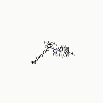 CC(=O)O[C@@H](C)/C=C\C(=O)N[C@@H]1C[C@H](C)[C@H](C/C=C(C)/C=C/[C@H]2OC(C)(C)CC(=O)[C@@H]2OCCOCCOCCOCCN=[N+]=[N-])O[C@@H]1C